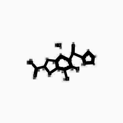 Cl.O=C(c1cccs1)c1cc2c(c(Cl)c1Cl)OC(C(=O)O)C2